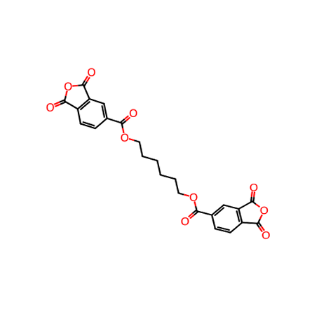 O=C(OCCCCCCOC(=O)c1ccc2c(c1)C(=O)OC2=O)c1ccc2c(c1)C(=O)OC2=O